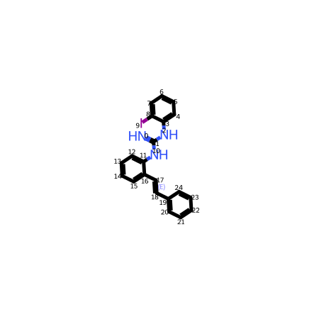 N=C(Nc1ccccc1I)Nc1ccccc1/C=C/c1ccccc1